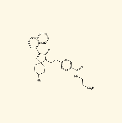 CC(C)(C)C1CCC2(CC1)N=C(c1cccc3ccccc13)C(=O)N2CCc1ccc(C(=O)NCCC(=O)O)cc1